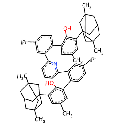 Cc1cc(-c2ccc(C(C)C)cc2-c2cccc(-c3cc(C(C)C)ccc3-c3cc(C)cc(C45CC6CC(C)(CC(C)(C6)C4)C5)c3O)n2)c(O)c(C23CC4CC(C)(CC(C)(C4)C2)C3)c1